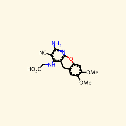 COc1cc2c(cc1OC)Oc1nc(N)c(C#N)c(NCC(=O)O)c1C2